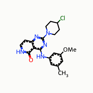 COc1cc(C)cc(Nc2nc(N3CCC(Cl)CC3)nc3cc[nH]c(=O)c23)c1